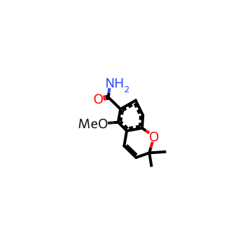 COc1c(C(N)=O)ccc2c1C=CC(C)(C)O2